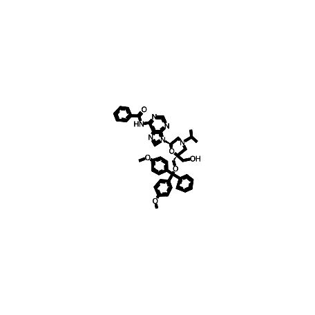 COc1ccc(C(OC[C@@]2(CO)CN(C(C)C)C[C@H](n3cnc4c(NC(=O)c5ccccc5)ncnc43)O2)(c2ccccc2)c2ccc(OC)cc2)cc1